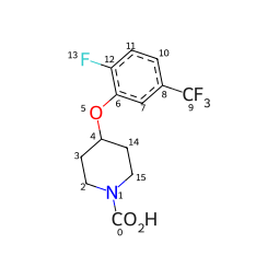 O=C(O)N1CCC(Oc2cc(C(F)(F)F)ccc2F)CC1